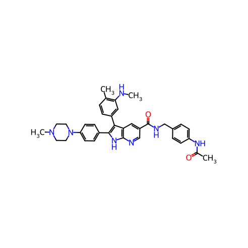 CNc1cc(-c2c(-c3ccc(N4CCN(C)CC4)cc3)[nH]c3ncc(C(=O)NCc4ccc(NC(C)=O)cc4)cc23)ccc1C